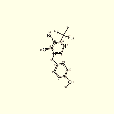 COc1ccc(Cn2cnc(C(C)(F)F)c(Br)c2=O)cc1